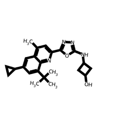 Cc1cc(-c2nnc(NC3CC(O)C3)o2)nc2c(C(C)(C)C)cc(C3CC3)cc12